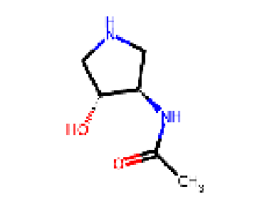 CC(=O)N[C@@H]1CNC[C@H]1O